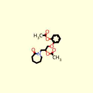 CC(=O)Oc1ccccc1OCC(CN1CCCCCC1=O)OC(C)=O